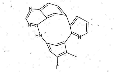 Fc1cc2cc(c1F)-c1ncccc1-c1ccc3ncnc(c3c1)N2